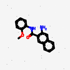 COc1ccccc1NC(=O)c1cc2ccccc2cc1N